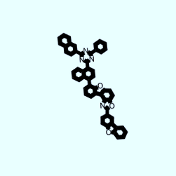 c1ccc(-c2nc(-c3ccc4ccccc4c3)nc(-c3ccc(-c4cccc5c4oc4ccc6oc(-c7ccc8oc9ccccc9c8c7)nc6c45)c4ccccc34)n2)cc1